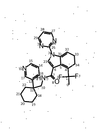 CC(F)(F)C1=c2c(C(=O)NCC3(c4cccnc4)CCCCC3)cn(-c3ncccn3)c2=CCC1